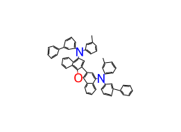 Cc1cccc(N(c2cccc(-c3ccccc3)c2)c2cc3c4cc(N(c5cccc(C)c5)c5cccc(-c6ccccc6)c5)c5ccccc5c4oc3c3ccccc23)c1